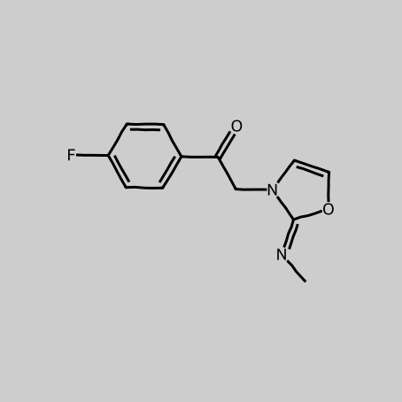 C/N=c1\occn1CC(=O)c1ccc(F)cc1